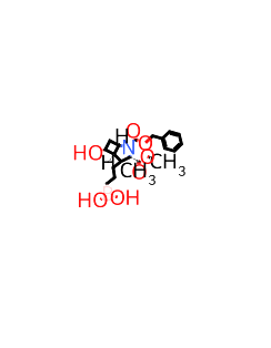 COC(=O)[C@H]1N(C(=O)OCc2ccccc2)[C@@H]2C[C@H](O)[C@@H]2[C@@]1(C)CCCB(O)O